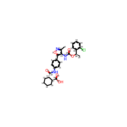 Cc1noc(-c2ccc(NC(=O)[C@H]3CCCC[C@@H]3C(=O)O)cc2)c1NC(=O)O[C@H](C)c1ccccc1Cl